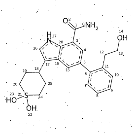 NC(=O)c1cc(-c2ccccc2CCO)cc2c(C3CCS(O)(O)CC3)c[nH]c12